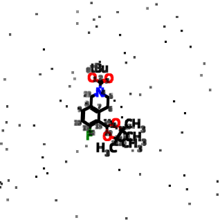 CC(C)(C)OC(=O)N1CCc2c(ccc(F)c2C2OC(C)(C)C(C)(C)O2)C1